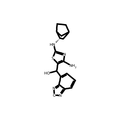 Nc1nc(N[C@H]2CC3CCC2C3)sc1C(O)c1cccc2nonc12